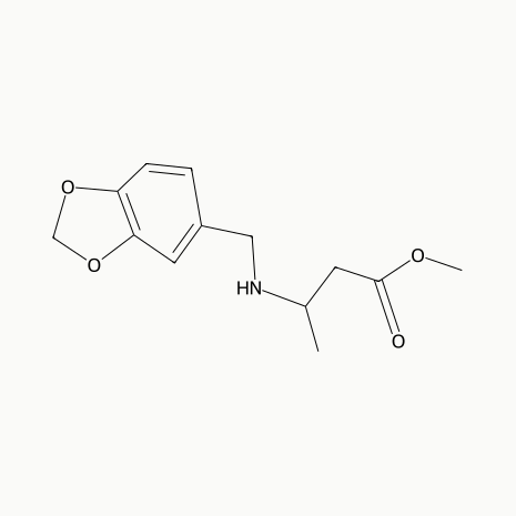 COC(=O)CC(C)NCc1ccc2c(c1)OCO2